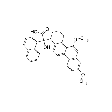 COc1ccc2c(c1)cc(OC)c1c3c(ccc12)C(C(O)(C(=O)O)c1cccc2ccccc12)CCC3